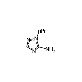 CCCn1ncnc1N